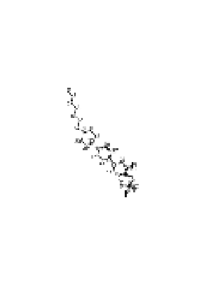 CCCCCCC[C@H]1CC[C@H](c2ccc(-c3ccc(OC(F)(F)F)c(F)c3)cc2)CC1